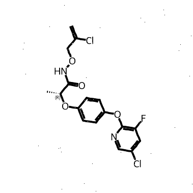 C=C(Cl)CONC(=O)[C@@H](C)Oc1ccc(Oc2ncc(Cl)cc2F)cc1